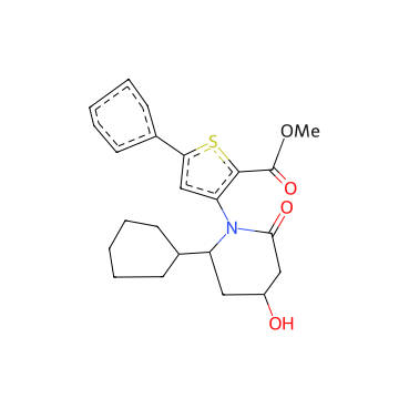 COC(=O)c1sc(-c2ccccc2)cc1N1C(=O)CC(O)CC1C1CCCCC1